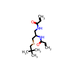 C=CC(=O)NCC(CSCC(C)(C)C)NC(=O)C=C